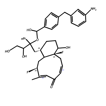 CCCC(C[C@@H]1CCC(O)[C@]2(F)C/C=C\C(=O)/C=C(\C)[C@@H](F)CC12)(OC(O)c1ccc(Cc2cccc(N)c2)cc1)C(O)CO